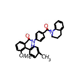 COc1cccc(C(=O)Nc2ccc(C(=O)N3CCCc4ccccc43)cc2)c1-c1ccc(C)cc1